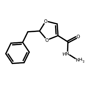 NNC(=O)C1=COC(Cc2ccccc2)O1